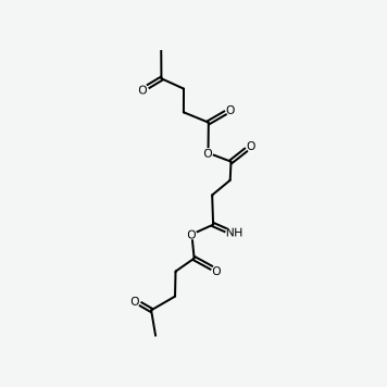 CC(=O)CCC(=O)OC(=N)CCC(=O)OC(=O)CCC(C)=O